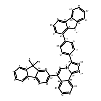 CC1(C)c2ccccc2-c2ccc(-c3cn4c(-c5ccc(-c6cccc7c6sc6ccccc67)cc5)nnc4c4ccccc34)cc21